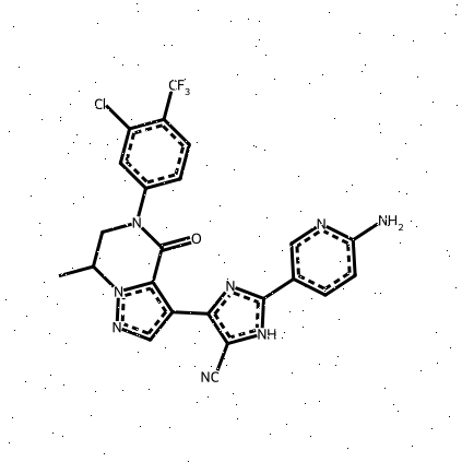 CC1CN(c2ccc(C(F)(F)F)c(Cl)c2)C(=O)c2c(-c3nc(-c4ccc(N)nc4)[nH]c3C#N)cnn21